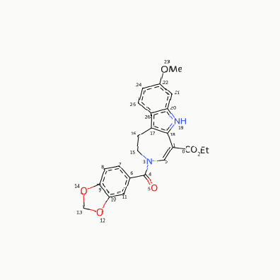 CCOC(=O)C1=CN(C(=O)c2ccc3c(c2)OCO3)CCc2c1[nH]c1cc(OC)ccc21